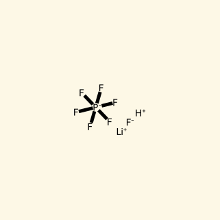 F[P-](F)(F)(F)(F)F.[F-].[H+].[Li+]